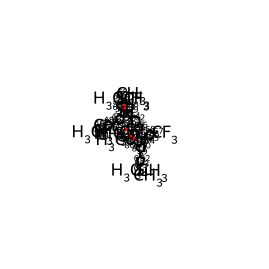 C[Si](C)(C)c1ccc(-c2ccc(N(C3=C4C=CC5=C6C(=CC=C(C=C3)C46)C(N(c3ccc(C(F)(F)F)cc3)c3ccc(-c4ccc([Si](C)(C)C)cc4)cc3-c3ccc([Si](C)(C)C)cc3)C=C5)c3ccc(C(F)(F)F)cc3)c(-c3ccc([Si](C)(C)C)cc3)c2)cc1